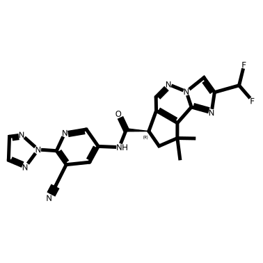 CC1(C)C[C@@H](C(=O)Nc2cnc(-n3nccn3)c(C#N)c2)c2cnn3cc(C(F)F)nc3c21